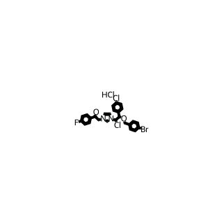 Cl.O=C(CN1C=CN(C(Cl)C(OCc2ccc(Br)cc2)c2ccc(Cl)cc2)C1)c1ccc(F)cc1